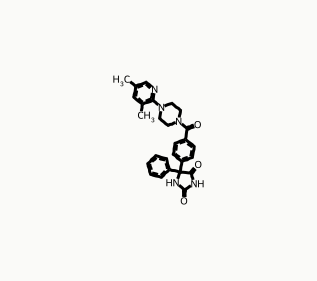 Cc1cnc(N2CCN(C(=O)c3ccc(C4(c5ccccc5)NC(=O)NC4=O)cc3)CC2)c(C)c1